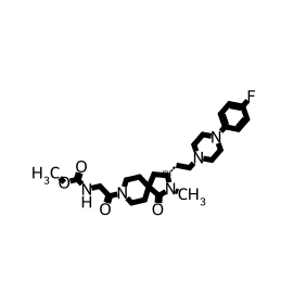 COC(=O)NCC(=O)N1CCC2(CC1)C[C@H](CCN1CCN(c3ccc(F)cc3)CC1)N(C)C2=O